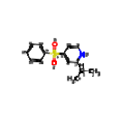 C[SiH](C)c1cc(S(=O)(=O)c2ccccc2)ccn1